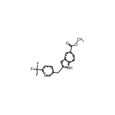 COC(=O)c1ccc2[nH]c(Cc3ccc(C(F)(F)F)nc3)cc2c1